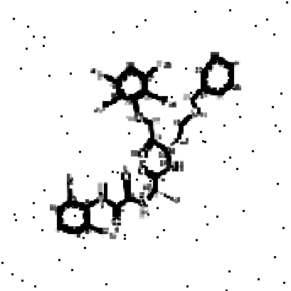 C[C@H](NC(=O)C(=O)Nc1c(F)cccc1F)C(=O)N[C@@H](CCOCc1ccccc1)C(=O)COc1c(F)c(F)cc(F)c1F